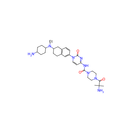 CCN(C1CCC(N)CC1)C1CCc2cc(-n3ccc(NC(=O)N4CCN(C(=O)C(C)(C)N)CC4)nc3=O)ccc2C1